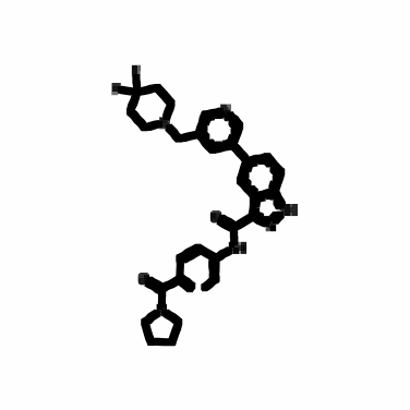 C=C(/C=C\C(=C/C)NC(=O)c1n[nH]c2ccc(-c3cncc(CN4CCC(F)(F)CC4)c3)cc12)C(=O)N1CCCC1